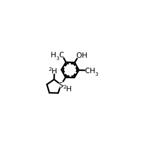 [2H]C1CCCS1([2H])c1cc(C)c(O)c(C)c1